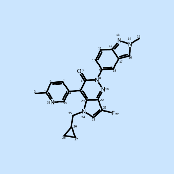 Cc1ccc(-c2c(=O)n(-c3ccc4nn(C)cc4c3)nc3c(F)cn(CC4CC4)c23)cn1